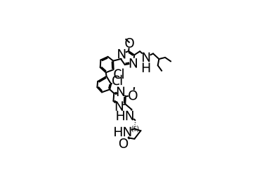 CCC(CC)CNCc1ncc(-c2cccc(-c3cccc(-c4cnc(CNC[C@@H]5CCC(=O)N5)c(OC)n4)c3Cl)c2Cl)nc1OC